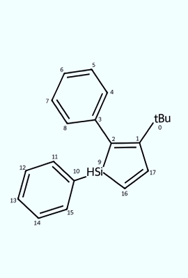 CC(C)(C)C1=C(c2ccccc2)[SiH](c2ccccc2)C=C1